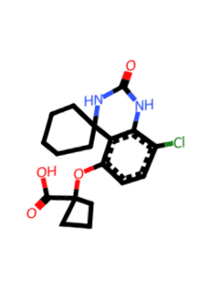 O=C1Nc2c(Cl)ccc(OC3(C(=O)O)CCC3)c2C2(CCCCC2)N1